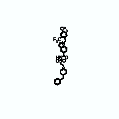 O=C(NS(=O)(=O)CCN1CCC(Cc2ccccc2)CC1)c1ccc2c(ccn2Cc2ccc(C(F)(F)F)cc2C(F)(F)F)c1